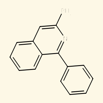 Bc1cc2ccccc2c(-c2ccccc2)n1